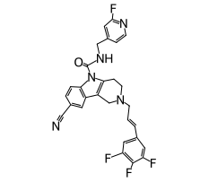 N#Cc1ccc2c(c1)c1c(n2C(=O)NCc2ccnc(F)c2)CCN(C/C=C/c2cc(F)c(F)c(F)c2)C1